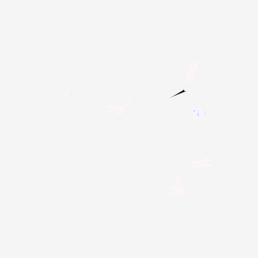 C[C@@H](O[Si](C)(C)C(C)(C)C)[C@H]1C(=O)N[C@@H]1[C@@H](CCF)C(=O)O